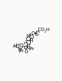 CC(C)C1=C2[C@H]3CC[C@@H]4[C@@]5(C)CC[C@H](OC(=O)CC(C)C(=O)O)C(C)(C)[C@@H]5CC[C@@]4(C)[C@]3(C)CC[C@@]2([C@@H](O)CN(CCN(C)C)C(C)C)CC1=O